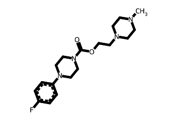 CN1CCN(CCOC(=O)N2CCN(c3ccc(F)cc3)CC2)CC1